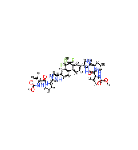 COC(=O)N[C@H](C(=O)N1CCCC1c1ncc(-c2ccc3c(c2)C(F)(F)C(F)(F)c2cc(-c4cnc(C5CCCN5C(=O)[C@@H](NC(=O)OC)C(C)C)[nH]4)ccc2-3)[nH]1)C(C)C